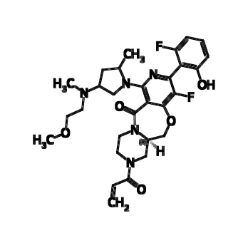 C=CC(=O)N1CCN2C(=O)c3c(N4CC(N(C)CCOC)CC4C)nc(-c4c(O)cccc4F)c(F)c3OC[C@H]2C1